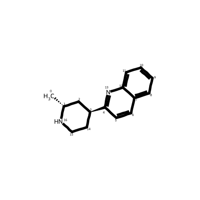 C[C@@H]1C[C@@H](c2ccc3ccccc3n2)CCN1